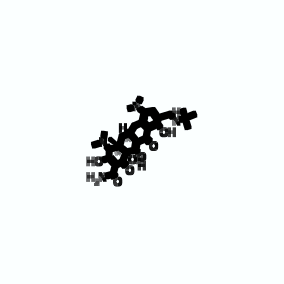 CN(C)c1cc(CNC(C)(C)C)c(O)c2c1C[C@H]1C[C@@]3(C)C(N(C)C)C(O)=C(C(N)=O)C(=O)[C@@]3(O)C(O)=C1C2=O